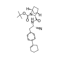 CC(C)(C)OC(=O)N1[C@@H]2CC[C@@H](C2)[C@H]1C(=O)N[C@H](C#N)Cc1ccc(C2=CCCCC2)cc1